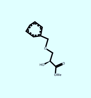 COC(=O)[C@@H](O)COCc1ccccc1